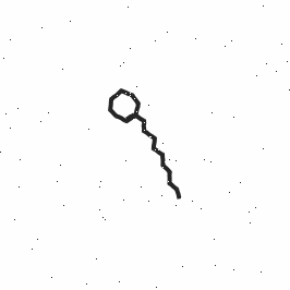 CCCCCCCCCC/C1=C/CCCCCC1